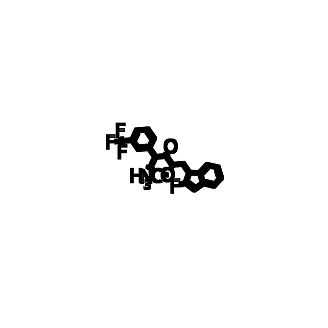 COC(CC1C(F)=Cc2ccccc21)C(=O)C(C#N)c1cccc(C(F)(F)F)c1